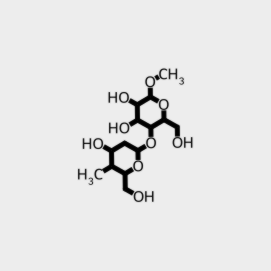 COC1OC(CO)C(OC2CC(O)C(C)C(CO)O2)C(O)C1O